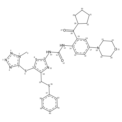 Cn1nnnc1Sc1sc(NC(=O)Nc2ccc(N3CCOCC3)cc2C(=O)C2CCCC2)nc1CSc1ccccc1